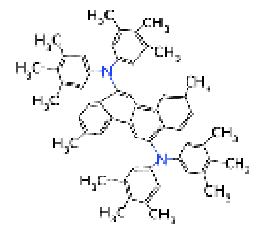 Cc1ccc2c(N(c3cc(C)c(C)c(C)c3)c3cc(C)c(C)c(C)c3)cc3c4cc(C)ccc4c(N(c4cc(C)c(C)c(C)c4)c4cc(C)c(C)c(C)c4)cc3c2c1